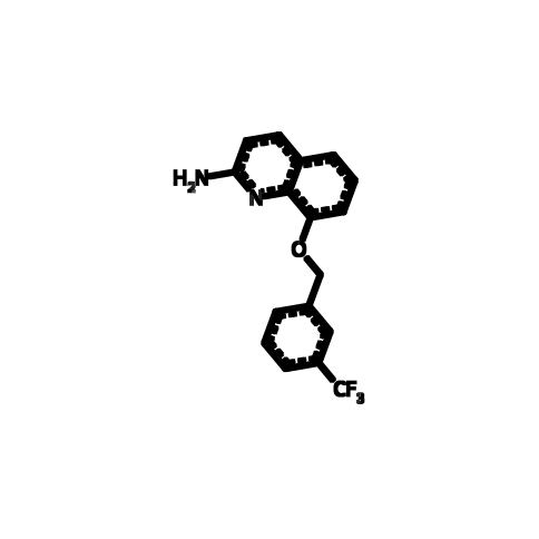 Nc1ccc2cccc(OCc3cccc(C(F)(F)F)c3)c2n1